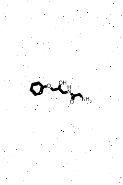 NCC(=O)NCC(O)COc1ccccc1